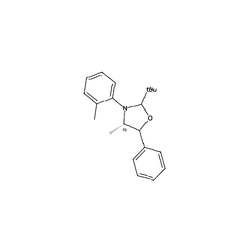 Cc1ccccc1N1C(C(C)(C)C)OC(c2ccccc2)[C@@H]1C